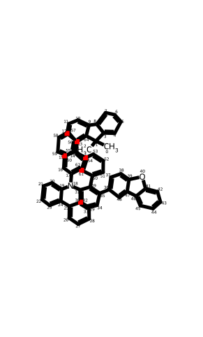 CC1(C)c2ccccc2-c2cccc(-c3ccc(N(c4ccccc4-c4ccccc4)c4cccc(-c5ccc6oc7ccccc7c6c5)c4-c4cccc(-c5ccccc5)c4)cc3)c21